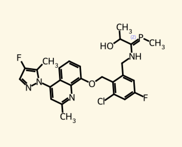 C/P=C(\NCc1cc(F)cc(Cl)c1COc1cccc2c(-n3ncc(F)c3C)cc(C)nc12)C(C)O